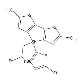 CCCCC(CC)C[Si]1(c2ccc(CC)s2)c2cc(C)sc2-c2sc(C)cc21